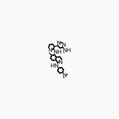 CNc1cc(-c2cccnc2Nc2c(C)ccc3c(Nc4ccc(N(C)C)cc4)nccc23)ncn1